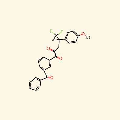 CCOc1ccc(C2(CC(=O)C(=O)c3cccc(C(=O)c4ccccc4)c3)CC2(F)F)cc1